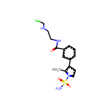 NS(=O)(=O)n1ccc(-c2cccc(C(=O)NCCNCCl)c2)c1C(=O)O